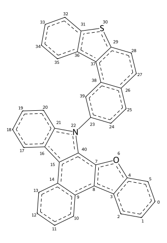 c1ccc2c(c1)oc1c2c2ccccc2c2c3ccccc3n(-c3ccc4ccc5sc6ccccc6c5c4c3)c12